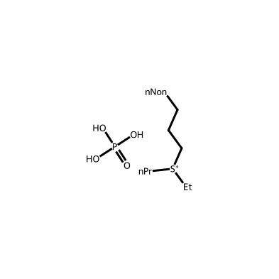 CCCCCCCCCCCC[S+](CC)CCC.O=P(O)(O)O